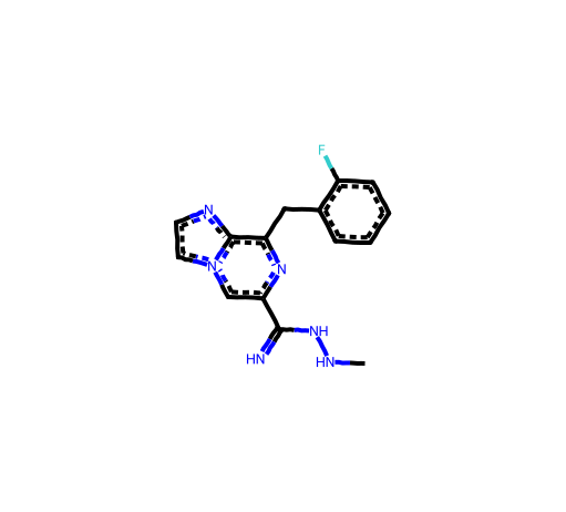 CNNC(=N)c1cn2ccnc2c(Cc2ccccc2F)n1